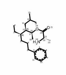 CC[C@H](CCCc1ccccc1)[C@@H](CC(C)C)[C@H](C)OC(=O)[C@H](C)N